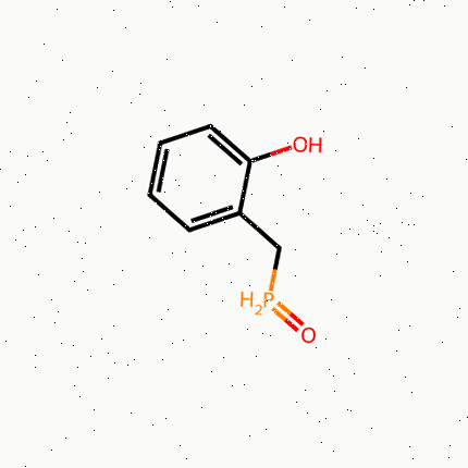 O=[PH2]Cc1ccccc1O